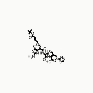 CC(C)(C)OC(=O)/C=C/CO/N=C(/C(=O)NC1C(=O)N2C(C(=O)O)=C(CSc3nncs3)CS[C@H]12)c1nc(N)sc1Cl